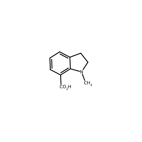 CN1CCc2cccc(C(=O)O)c21